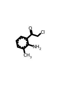 Cc1cccc(C(=O)CCl)c1N